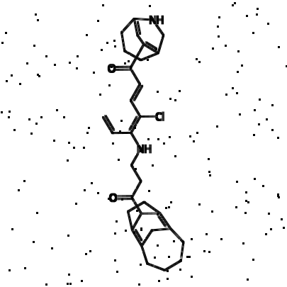 C=C/C(NCCC(=O)C1C2=C3CCCCC(=C1CC2)C3)=C(Cl)\C=C\C(=O)C1=C2CCCC(=C1)NC2